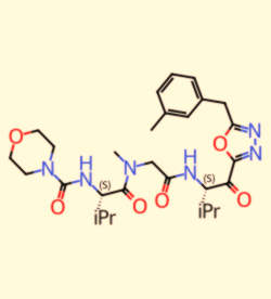 Cc1cccc(Cc2nnc(C(=O)[C@@H](NC(=O)CN(C)C(=O)[C@@H](NC(=O)N3CCOCC3)C(C)C)C(C)C)o2)c1